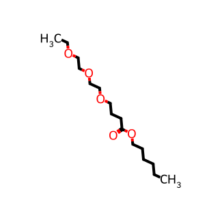 CCCCCCOC(=O)CCCOCCOCCOCC